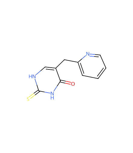 O=c1[nH]c(=S)[nH]cc1Cc1ccccn1